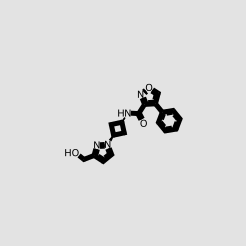 O=C(N[C@H]1C[C@H](n2ccc(CO)n2)C1)c1nocc1-c1ccccc1